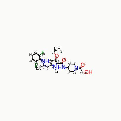 CC/C(=C/c1cc(OCC(F)(F)F)c(C(=O)NC2CCN(C(=O)CO)CC2)n1C)Nc1c(F)cccc1F